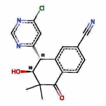 CC1(C)C(=O)c2ccc(C#N)cc2[C@@H](c2cc(Cl)ncn2)[C@@H]1O